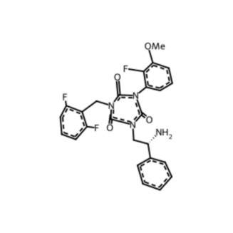 COc1cccc(-n2c(=O)n(Cc3c(F)cccc3F)c(=O)n(C[C@H](N)c3ccccc3)c2=O)c1F